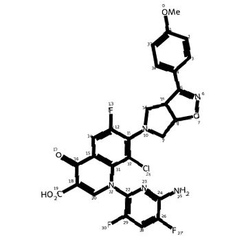 COc1ccc(C2=NOC3CN(c4c(F)cc5c(=O)c(C(=O)O)cn(-c6nc(N)c(F)cc6F)c5c4Cl)CC23)cc1